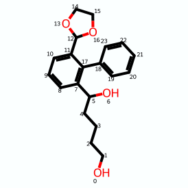 OCCCCC(O)c1cccc(C2OCCO2)c1-c1ccccc1